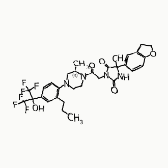 CCCc1cc(C(O)(C(F)(F)F)C(F)(F)F)ccc1N1CCN(C(=O)CN2C(=O)NC(C)(c3ccc4c(c3)CCO4)C2=O)[C@H](C)C1